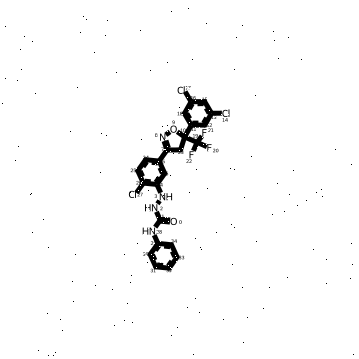 O=C(NNc1cc(C2=NOC(c3cc(Cl)cc(Cl)c3)(C(F)(F)F)C2)ccc1Cl)Nc1ccccc1